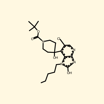 CCCCCn1c(O)nc2ncc(Cl)c(C3(O)CCN(C(=O)OC(C)(C)C)CC3)c21